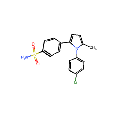 Cc1ccc(-c2ccc(S(N)(=O)=O)cc2)n1-c1ccc(Cl)cc1